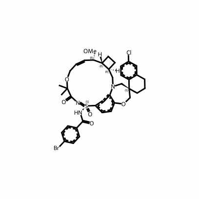 CO[C@H]1C=CCOC(C)(C)C(=O)N=[S@@](=O)(NC(=O)c2ccc(Br)cc2)c2ccc3c(c2)N(C[C@@H]2CC[C@H]21)C[C@@]1(CCCc2cc(Cl)ccc21)CO3